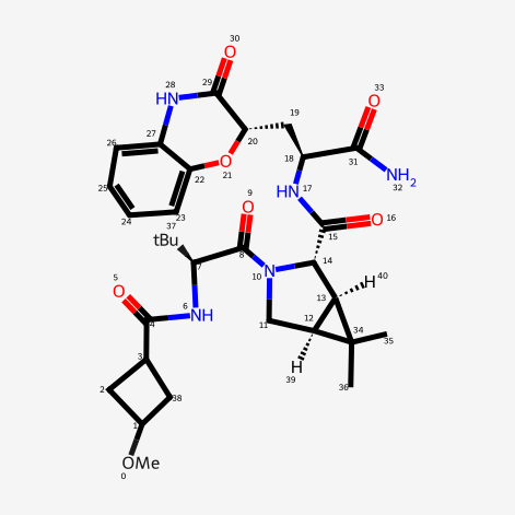 COC1CC(C(=O)N[C@H](C(=O)N2C[C@H]3[C@@H]([C@H]2C(=O)N[C@@H](C[C@@H]2Oc4ccccc4NC2=O)C(N)=O)C3(C)C)C(C)(C)C)C1